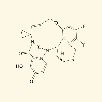 O=C1c2c(O)c(=O)ccn2N2CN1C1(/C=C/COc3cc(F)c(F)c4c3[C@H]2c2ccccc2SC4)CC1